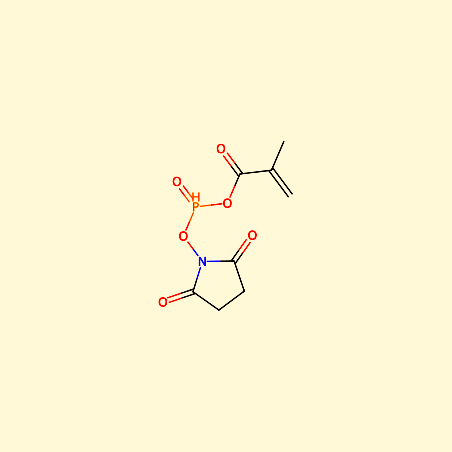 C=C(C)C(=O)O[PH](=O)ON1C(=O)CCC1=O